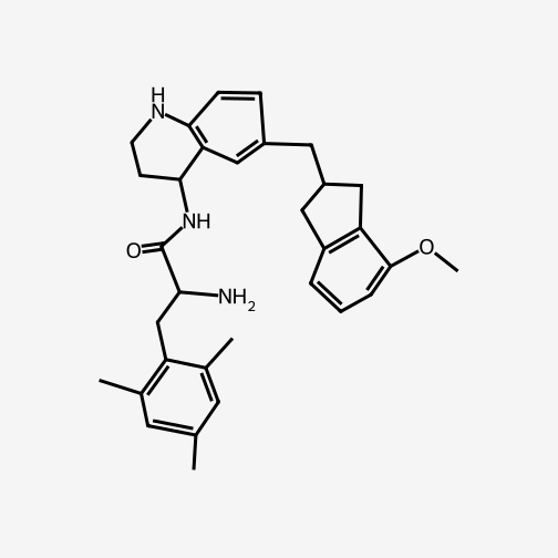 COc1cccc2c1CC(Cc1ccc3c(c1)C(NC(=O)C(N)Cc1c(C)cc(C)cc1C)CCN3)C2